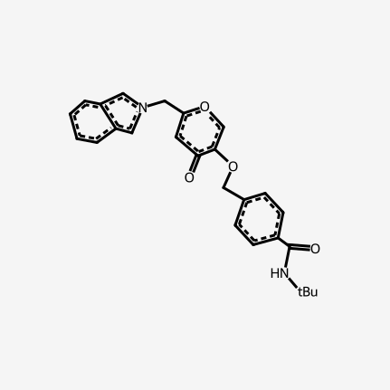 CC(C)(C)NC(=O)c1ccc(COc2coc(Cn3cc4ccccc4c3)cc2=O)cc1